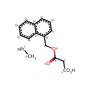 CCCC.O=C(O)CC(=O)OCc1cccc2ccccc12